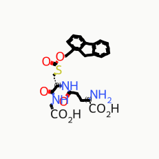 N[C@@H](CCC(=O)N[C@@H](CSC(=O)OCc1cccc2c1Cc1ccccc1-2)C(=O)NCC(=O)O)C(=O)O